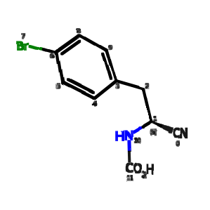 N#C[C@H](Cc1ccc(Br)cc1)NC(=O)O